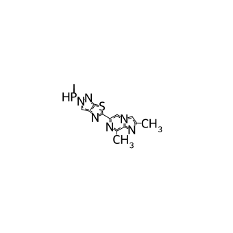 Cc1cn2cc(-c3nc4cn(PI)nc4s3)nc(C)c2n1